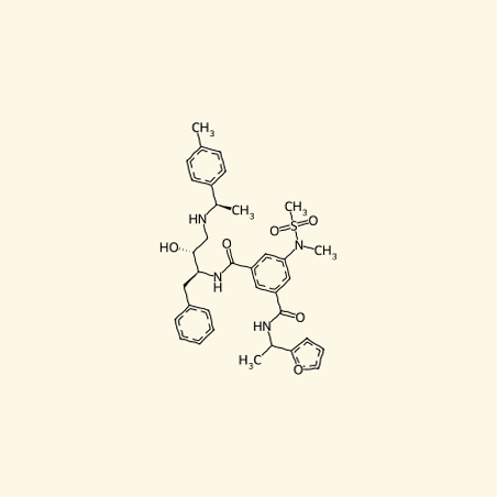 Cc1ccc([C@@H](C)NC[C@@H](O)[C@H](Cc2ccccc2)NC(=O)c2cc(C(=O)NC(C)c3ccco3)cc(N(C)S(C)(=O)=O)c2)cc1